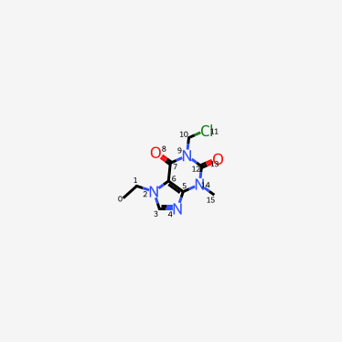 CCn1cnc2c1c(=O)n(CCl)c(=O)n2C